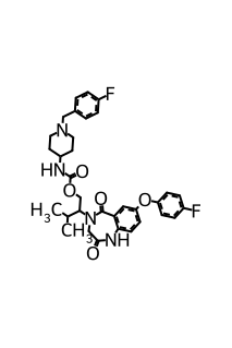 CC(C)C(COC(=O)NC1CCN(Cc2ccc(F)cc2)CC1)N1CC(=O)Nc2ccc(Oc3ccc(F)cc3)cc2C1=O